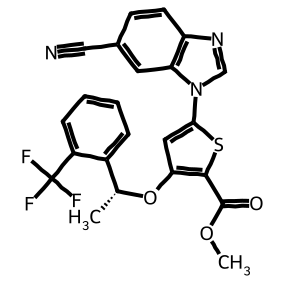 COC(=O)c1sc(-n2cnc3ccc(C#N)cc32)cc1O[C@H](C)c1ccccc1C(F)(F)F